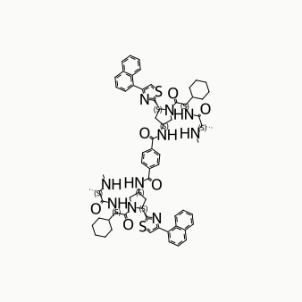 CN[C@@H](C)C(=O)N[C@H](C(=O)N1C[C@@H](NC(=O)c2ccc(C(=O)N[C@H]3C[C@@H](c4nc(-c5cccc6ccccc56)cs4)N(C(=O)[C@@H](NC(=O)[C@H](C)NC)C4CCCCC4)C3)cc2)C[C@H]1c1nc(-c2cccc3ccccc23)cs1)C1CCCCC1